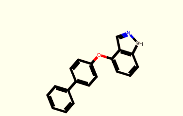 B1N=Cc2c1cccc2Oc1ccc(-c2ccccc2)cc1